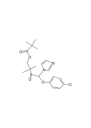 CC(C)(C)C(=O)OCC(C)(C)C(=O)C(Oc1ccc(Cl)cc1)n1ccnc1